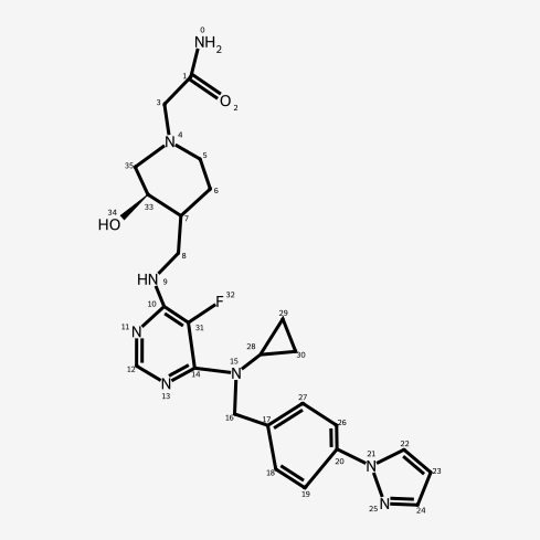 NC(=O)CN1CCC(CNc2ncnc(N(Cc3ccc(-n4cccn4)cc3)C3CC3)c2F)[C@@H](O)C1